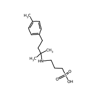 Cc1ccc(CCC(C)(C)NCCCS(=O)(=O)O)cc1